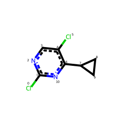 Clc1ncc(Cl)c(C2CC2)n1